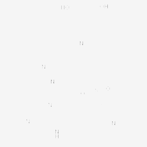 Cc1nn(-c2ccnc(Nc3ccc4c(c3)c(S(C)(=O)=O)cn4C)n2)cc1CN1CC(O)C(O)C1